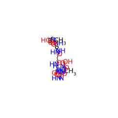 C[C@H](NC(=O)[C@@H](N)CC(=O)O)C(=O)NC(Cc1c[nH]cn1)C(=O)NC(CCCCNC(=O)CCCCCC(=O)NNc1ccc(C(=O)N[C@H](C)C(=O)N2CCC[C@H]2B(O)O)cc1)C(=O)O